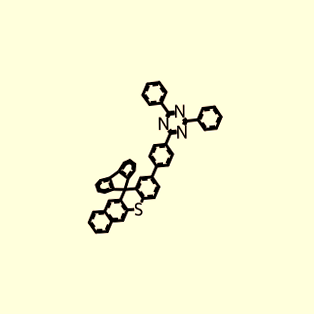 c1ccc(-c2nc(-c3ccccc3)nc(-c3ccc(-c4ccc5c(c4)C4(c6cc7ccccc7cc6S5)c5ccccc5-c5ccccc54)cc3)n2)cc1